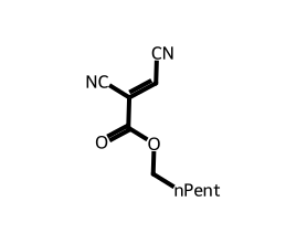 CCCCCCOC(=O)C(C#N)=CC#N